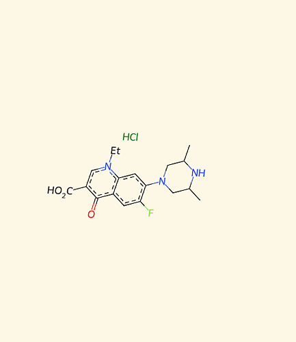 CCn1cc(C(=O)O)c(=O)c2cc(F)c(N3CC(C)NC(C)C3)cc21.Cl